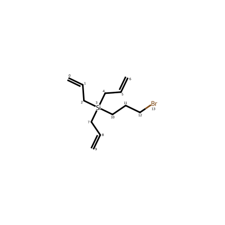 C=CC[Si](CC=C)(CC=C)CCCBr